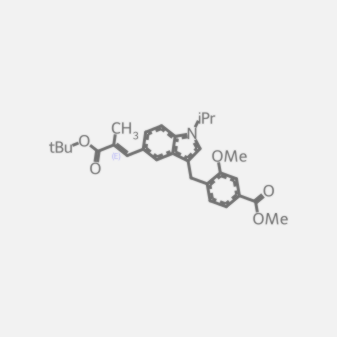 COC(=O)c1ccc(Cc2cn(C(C)C)c3ccc(/C=C(\C)C(=O)OC(C)(C)C)cc23)c(OC)c1